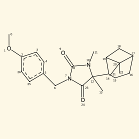 COc1ccc(CN2C(=O)N(C)C(C)(C3CCC4CC3C4(C)C)C2=O)cc1